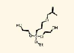 C=C(C)COCCC[Si](OCC)(OCCO)OCCO